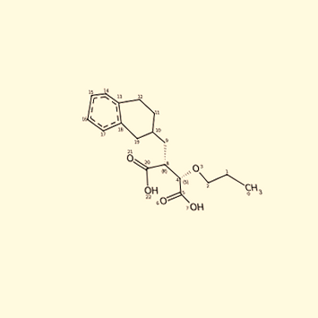 CCCO[C@H](C(=O)O)[C@@H](CC1CCc2ccccc2C1)C(=O)O